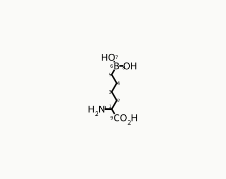 NC(CCCCB(O)O)C(=O)O